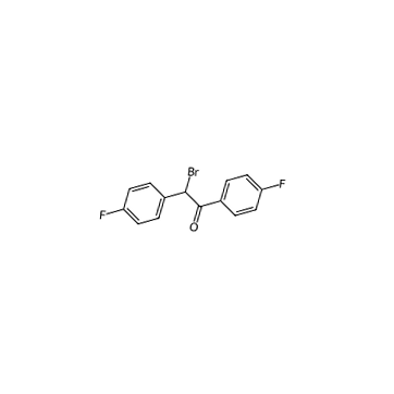 O=C(c1ccc(F)cc1)C(Br)c1ccc(F)cc1